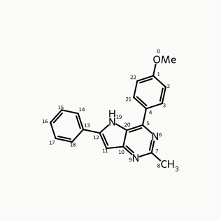 COc1ccc(-c2nc(C)nc3cc(-c4ccccc4)[nH]c23)cc1